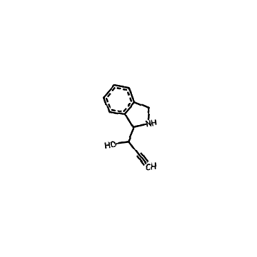 C#CC(O)C1NCc2ccccc21